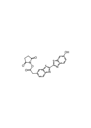 O=C(Cc1ccc2nc(-c3nc4ccc(O)cc4s3)sc2c1)ON1C(=O)CCC1=O